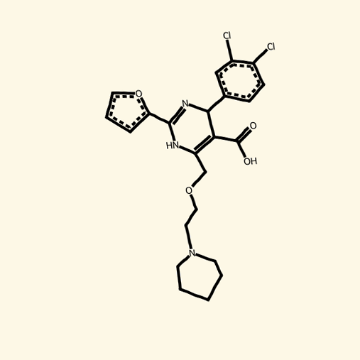 O=C(O)C1=C(COCCN2CCCCC2)NC(c2ccco2)=NC1c1ccc(Cl)c(Cl)c1